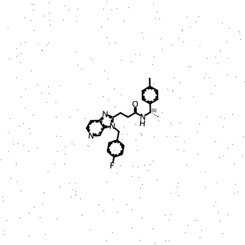 Cc1ccc([C@H](C)NC(=O)CCc2nc3ccncc3n2Cc2ccc(F)cc2)cc1